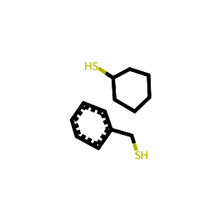 SC1CCCCC1.SCc1ccccc1